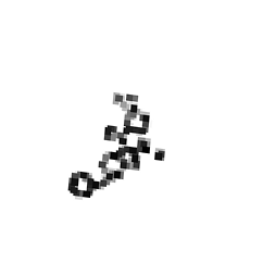 Nc1sc2c(c1C(=O)c1cccc(C(F)(F)F)c1)CCN(Cc1ccccc1)C2